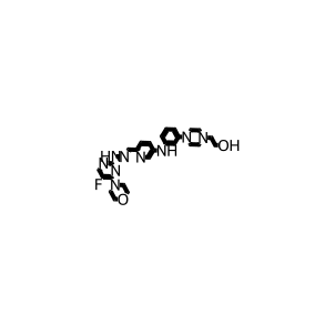 OCCN1CCN(c2cccc(Nc3ccc(/C=N/Nc4ncc(F)c(N5CCOCC5)n4)nc3)c2)CC1